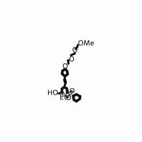 CCOP(=O)(c1ccccc1)c1cc(C#Cc2ccc(OCCOCCOCCOC)cc2)cc(CO)n1